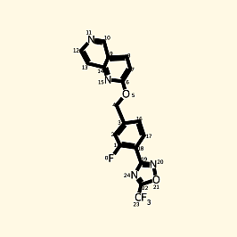 Fc1cc(COc2ccc3cnccc3n2)ccc1-c1noc(C(F)(F)F)n1